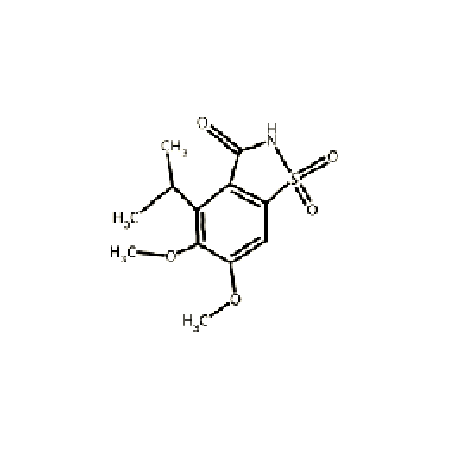 COc1cc2c(c(C(C)C)c1OC)C(=O)NS2(=O)=O